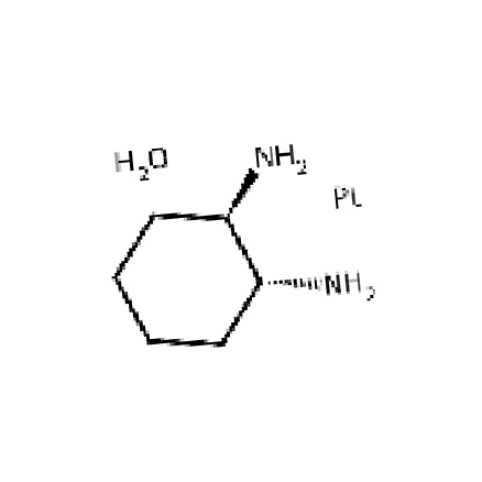 N[C@@H]1CCCC[C@H]1N.O.[Pt]